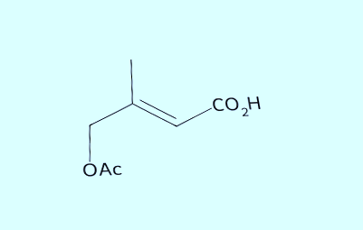 CC(=O)OCC(C)=CC(=O)O